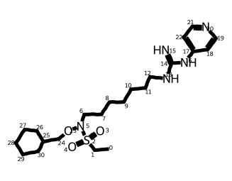 CCS(=O)(=O)N(CCCCCCCNC(=N)Nc1ccncc1)OCC1CCCCC1